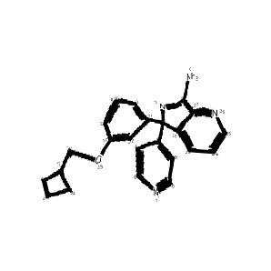 NC1=NC(c2ccncc2)(c2cccc(OCC3CCC3)c2)c2cccnc21